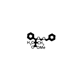 COC(=O)C(C)(C)C(OCOCc1ccccc1)c1ccccc1